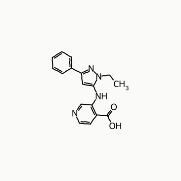 CCn1nc(-c2ccccc2)cc1Nc1cnccc1C(=O)O